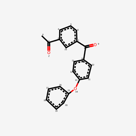 CC(=O)c1cccc(C(=O)c2ccc(Oc3ccccc3)cc2)c1